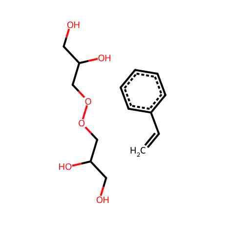 C=Cc1ccccc1.OCC(O)COOCC(O)CO